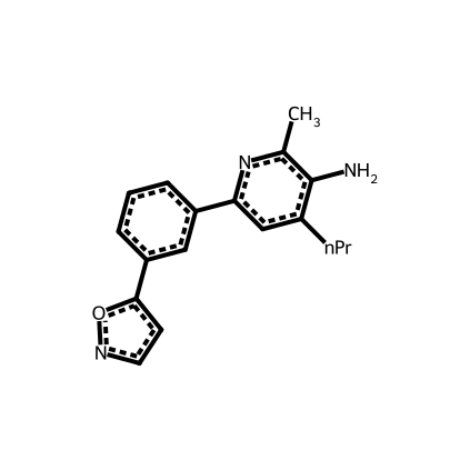 CCCc1cc(-c2cccc(-c3ccno3)c2)nc(C)c1N